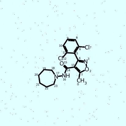 Cc1onc(-c2c(Cl)cccc2Cl)c1C(=O)NN1CCCCCC1